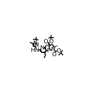 CCc1cc(Nc2cc(C)n(C(C)(C)C)n2)nc(C[C@@]2(C(=O)OC(C)(C)C)CCN(C(=O)OC(C)(C)C)[C@H](C)C2)c1F